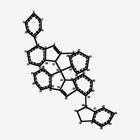 CC1=Cc2c(-c3ccccc3)cccc2C1S(c1ccccc1)(c1ccccc1)C1C(C)=Cc2c1cccc2N1CCc2ccccc21